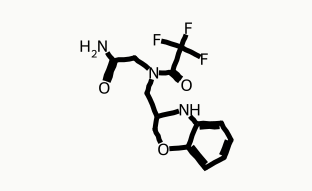 NC(=O)CN(CC1COc2ccccc2N1)C(=O)C(F)(F)F